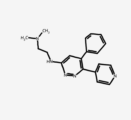 CN(C)CCNc1cc(-c2ccccc2)c(-c2ccncc2)nn1